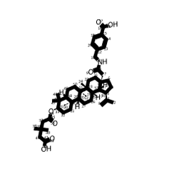 C=C(C)[C@@H]1CC[C@]2(CC(=O)NCc3ccc(C(=O)O)cc3)CC[C@]3(C)[C@H](CC[C@@H]4[C@@]5(C)CC[C@H](OC(=O)CC(C)(C)CC(=O)O)C(C)(C)[C@@H]5CC[C@]43C)[C@@H]12